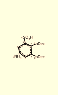 CCCCCCCCCCc1cccc(S(=O)(=O)O)c1CCCCCCCCCC.N